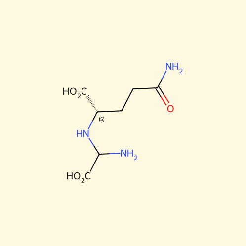 NC(=O)CC[C@H](NC(N)C(=O)O)C(=O)O